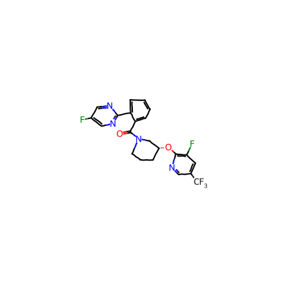 O=C(c1ccccc1-c1ncc(F)cn1)N1CCC[C@@H](Oc2ncc(C(F)(F)F)cc2F)C1